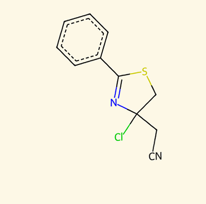 N#CCC1(Cl)CSC(c2ccccc2)=N1